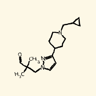 CC(C)(C=O)Cn1ccc(C2CCN(CC3CC3)CC2)n1